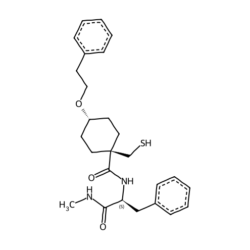 CNC(=O)[C@H](Cc1ccccc1)NC(=O)[C@]1(CS)CC[C@H](OCCc2ccccc2)CC1